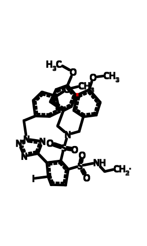 [CH2]CNS(=O)(=O)c1ccc(I)c(-c2nnn(Cc3ccc(OC)cc3)n2)c1S(=O)(=O)N(Cc1ccc(OC)cc1)Cc1ccc(OC)cc1